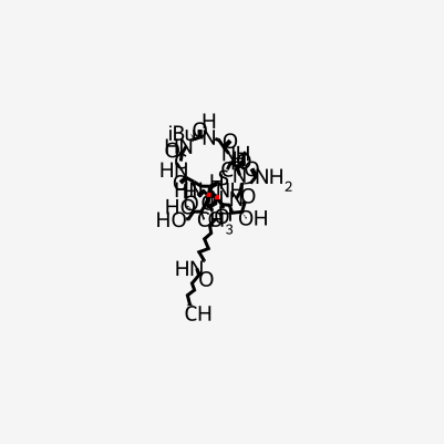 C#CCCCC(=O)NCCCCCCOc1ccc2c3c([nH]c2c1)SC[C@@H]1NC(=O)CNC(=O)[C@H]([C@@H](C)CC)NC(=O)CNC(=O)[C@@H](C3)NC(=O)[C@H]([C@@H](C)[C@@H](O)CO)NC(=O)[C@@H]2C[C@@H](O)CN2C(=O)[C@H](CC(N)=O)NC1=O